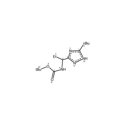 CCCCc1nc(C(CC)NC(=O)OC(C)(C)C)n[nH]1